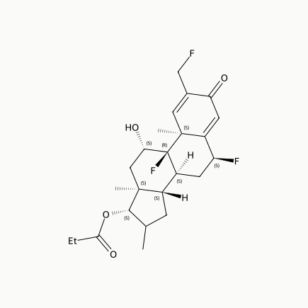 CCC(=O)O[C@H]1C(C)C[C@H]2[C@@H]3C[C@H](F)C4=CC(=O)C(CF)=C[C@]4(C)[C@@]3(F)[C@@H](O)C[C@]12C